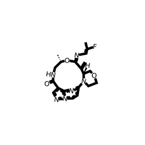 C=C1/C(=N\C=C(/C)F)O[C@@H](C)CNC(=O)c2cnn3ccc(nc23)N2CCOC[C@@H]12